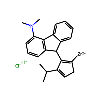 CC(C)C1=CC[C]([Zr+2])=C1C1c2ccccc2-c2c1cccc2N(C)C.[Cl-].[Cl-]